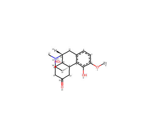 CCOc1ccc2c(c1O)[C@]13CCN(C)[C@H](C2)[C@]1(O)CCC(=O)C3